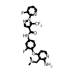 CN(C)Cc1c(Oc2ccc(NC(=O)c3cnn(-c4ncccc4F)c3C(F)(F)F)cc2F)ccnc1N